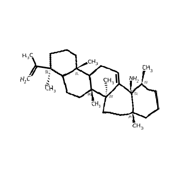 C=C(C)[C@@]1(C)CCC[C@@]2(C)C1CC[C@]1(C)C2CC=C2[C@@]1(C)CC[C@@]1(C)CCC[C@H](C)[C@@]21N